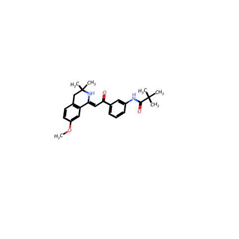 COc1ccc2c(c1)/C(=C/C(=O)c1cccc(NC(=O)C(C)(C)C)c1)NC(C)(C)C2